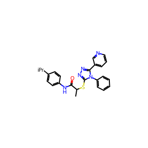 CC(Sc1nnc(-c2cccnc2)n1-c1ccccc1)C(=O)Nc1ccc(C(C)C)cc1